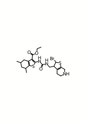 CCOC(=O)c1c(NC(=O)NCC2C3=C(CNCC3)SC2Br)sc2c1CC(C)CC2C